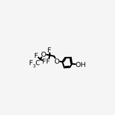 Oc1ccc(OCC(F)(F)OC(F)(F)C(F)(F)F)cc1